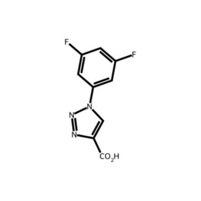 O=C(O)c1cn(-c2cc(F)cc(F)c2)nn1